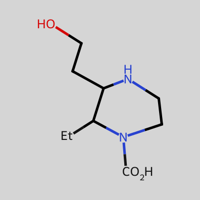 CCC1C(CCO)NCCN1C(=O)O